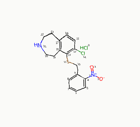 Cl.O=[N+]([O-])c1ccccc1CSc1c(Cl)ccc2c1CCNCC2